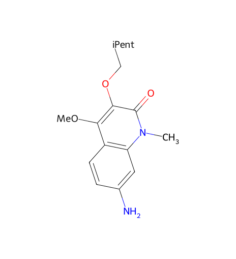 CCCC(C)COc1c(OC)c2ccc(N)cc2n(C)c1=O